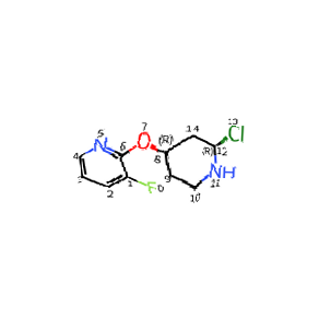 Fc1cccnc1O[C@@H]1CCN[C@H](Cl)C1